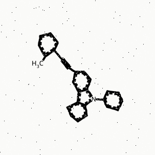 Cc1ccccc1C#Cc1ccc2c(c1)c1ccccc1n2-c1ccccc1